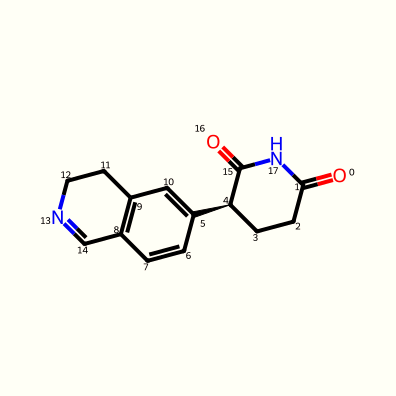 O=C1CC[C@@H](c2ccc3c(c2)CCN=C3)C(=O)N1